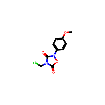 COc1ccc(-n2oc(=O)n(CCl)c2=O)cc1